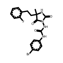 CC1(CCc2ccccc2F)NC(=O)N(NC(=O)Nc2ccc(Br)cc2)C1=O